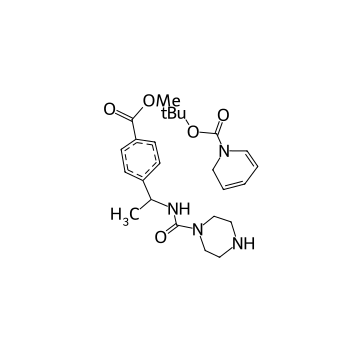 CC(C)(C)OC(=O)N1C=CC=CC1.COC(=O)c1ccc(C(C)NC(=O)N2CCNCC2)cc1